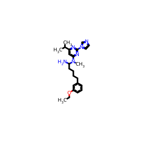 CCOc1cccc(CCCCC(N)N(C)c2cc(C(C)C)nc(-n3ccnc3)n2)c1